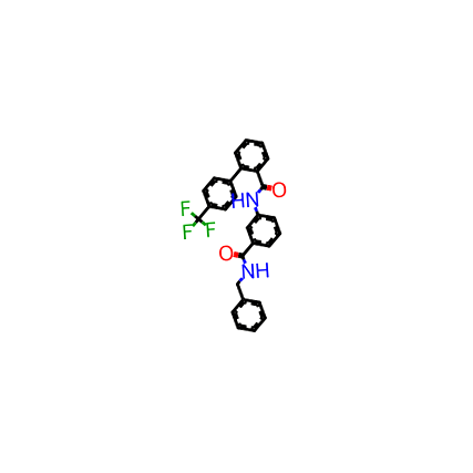 O=C(NCc1ccccc1)c1cccc(NC(=O)c2ccccc2-c2ccc(C(F)(F)F)cc2)c1